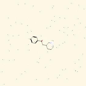 CN1CCCC(CC(=O)c2ccc(F)cc2)C1